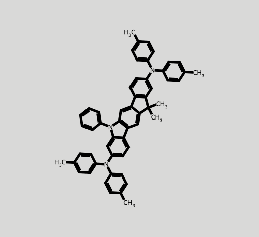 Cc1ccc(N(c2ccc(C)cc2)c2ccc3c(c2)C(C)(C)c2cc4c5ccc(N(c6ccc(C)cc6)c6ccc(C)cc6)cc5n(-c5ccccc5)c4cc2-3)cc1